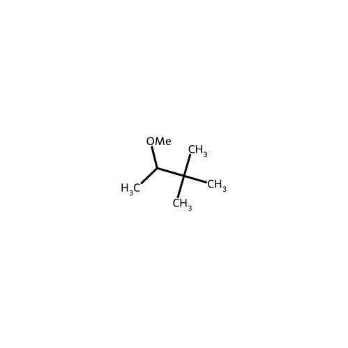 [CH2]OC(C)C(C)(C)C